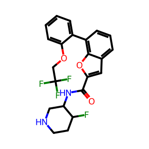 O=C(NC1CNCCC1F)c1cc2cccc(-c3ccccc3OCC(F)(F)F)c2o1